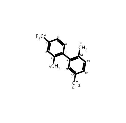 Cc1cc(C(F)(F)F)ccc1-c1cc(C(F)(F)F)ccc1C